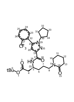 CC(C)(C)OC(=O)C[C@H](CCCN1CCCCC1=O)NC(=O)c1cc(-c2ccccc2C(F)(F)F)n(C2CCCC2)n1